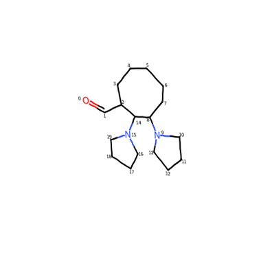 O=CC1CCCCCC(N2CCCC2)C1N1CCCC1